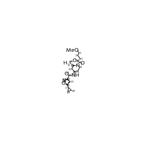 COCCCS(=O)(=O)N1CC[C@H](NC(=O)c2cc(C3CC3)on2)C[C@@H]1C